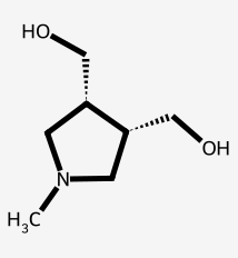 CN1C[C@@H](CO)[C@@H](CO)C1